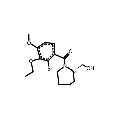 CCOc1c(OC)ccc(C(=O)N2CCCC[C@H]2CO)c1Br